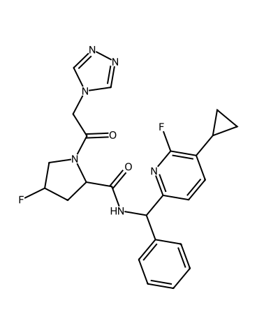 O=C(NC(c1ccccc1)c1ccc(C2CC2)c(F)n1)C1CC(F)CN1C(=O)Cn1cnnc1